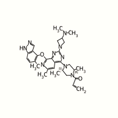 C=CC(=O)N1C[C@H](C)N(c2nc(N3CC(N(C)C)C3)nc3c(Oc4c(C)ccc5[nH]ncc45)nc(C)cc23)C[C@H]1C